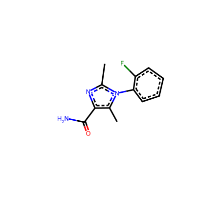 Cc1nc(C(N)=O)c(C)n1-c1ccccc1F